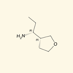 CC[C@@H](N)[C@H]1CCOC1